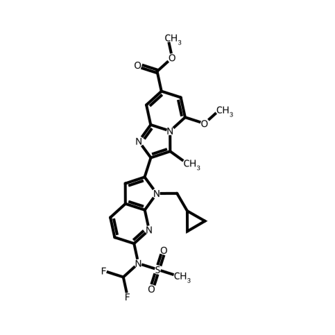 COC(=O)c1cc(OC)n2c(C)c(-c3cc4ccc(N(C(F)F)S(C)(=O)=O)nc4n3CC3CC3)nc2c1